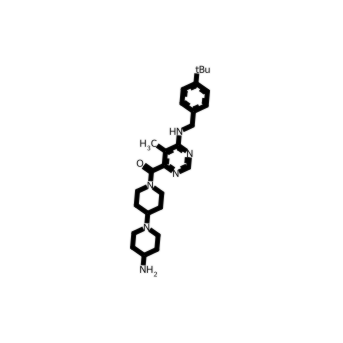 Cc1c(NCc2ccc(C(C)(C)C)cc2)ncnc1C(=O)N1CCC(N2CCC(N)CC2)CC1